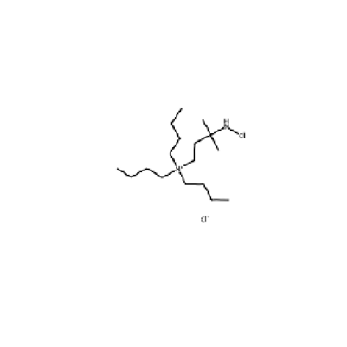 CCCC[N+](CCCC)(CCCC)CCC(C)(C)NCl.[Cl-]